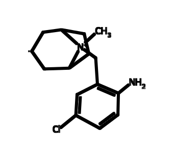 C[N+]1(Cc2cc(Cl)ccc2N)C2C[CH]CC1CC2